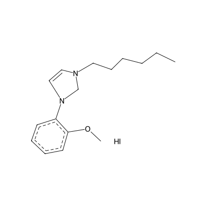 CCCCCCN1C=CN(c2ccccc2OC)C1.I